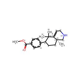 COC(=O)c1ccc(C2CC[C@]3(C)CNCC=C3C2(C)C)cc1